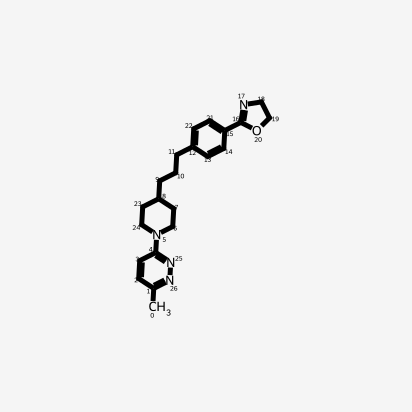 Cc1ccc(N2CCC(CCCc3ccc(C4=NCCO4)cc3)CC2)nn1